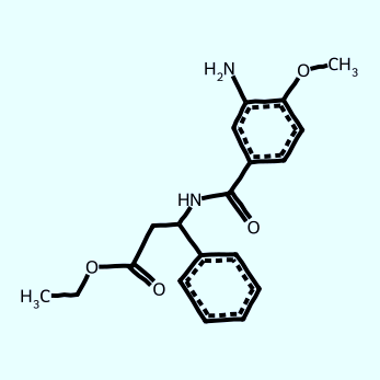 CCOC(=O)CC(NC(=O)c1ccc(OC)c(N)c1)c1ccccc1